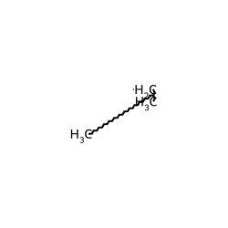 [CH2]CC(CC)CCCCCCCCCCCCCCCCCCCCCCCCC